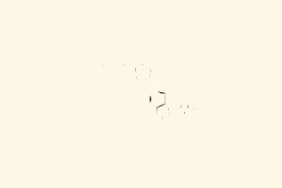 CCOC(=O)[C@H]1CC[C@@H](Oc2ccc(C(=O)O)c(OC)c2)CC1